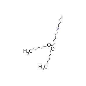 CCCCCCCOC(CCCCC/C=C/CCCI)OCCCCCCC